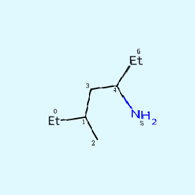 CCC(C)CC(N)CC